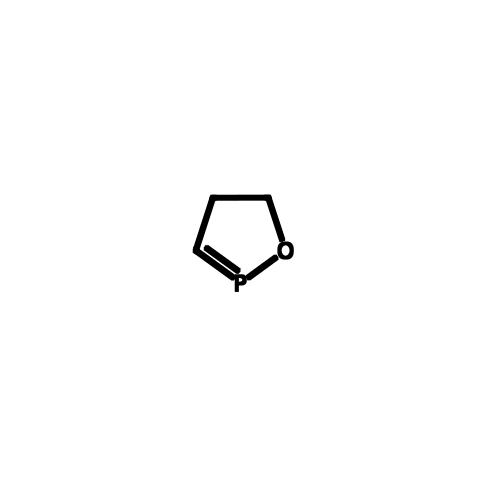 C1=POCC1